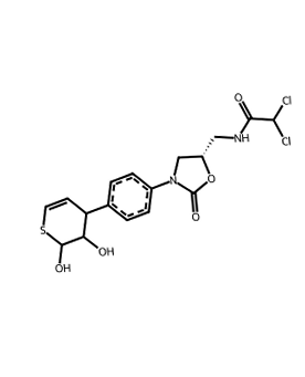 O=C(NC[C@H]1CN(c2ccc(C3C=CSC(O)C3O)cc2)C(=O)O1)C(Cl)Cl